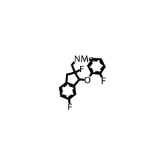 CNCC1(F)Cc2ccc(F)cc2C1Oc1ccccc1F